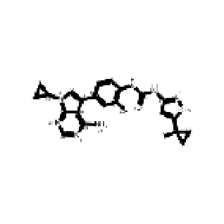 CC1(c2cc(NC(=O)Nc3ccc(-c4cn(C5CC5)c5ncnc(N)c45)cc3F)no2)CC1